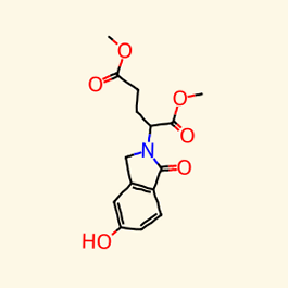 COC(=O)CCC(C(=O)OC)N1Cc2cc(O)ccc2C1=O